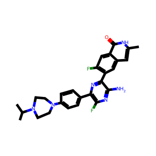 Cc1cc2cc(-c3nc(-c4ccc(N5CCN(C(C)C)CC5)cc4)c(F)nc3N)c(F)cc2c(=O)[nH]1